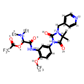 CCN(CC)C(OC(=O)C(F)(F)F)C(=O)Nc1cc(N2C(=O)N(Cc3ccncc3)C(C)(C)C2=O)ccc1OC(F)(F)F